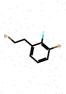 Fc1c(Br)cccc1CCBr